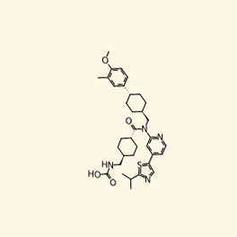 COc1ccc([C@H]2CC[C@H](CN(c3cc(-c4cnc(C(C)C)s4)ccn3)C(=O)[C@H]3CC[C@H](CNC(=O)O)CC3)CC2)cc1C